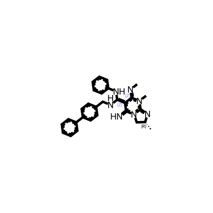 C/N=c1/c(=C(/NCc2ccc(-c3ccccc3)cc2)Nc2ccccc2)c(=N)n2c(n1C)=N[C@H](C)C2